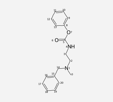 CN(CCNC(=O)Oc1ccccc1)Cc1ccccc1